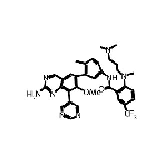 COc1c(-c2cc(NC(=O)c3cc(C(F)(F)F)ccc3N(C)CCCN(C)C)ccc2C)cc2cnc(N)nc2c1-c1cncnc1